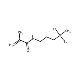 C=C(C)C(=O)NCCC[N+](C)(CC)CC